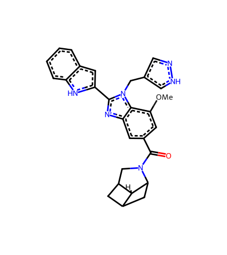 COc1cc(C(=O)N2CC3CC4CC2[C@H]43)cc2nc(-c3cc4ccccc4[nH]3)n(Cc3cn[nH]c3)c12